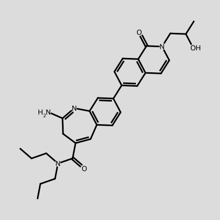 CCCN(CCC)C(=O)C1=Cc2ccc(-c3ccc4c(=O)n(CC(C)O)ccc4c3)cc2N=C(N)C1